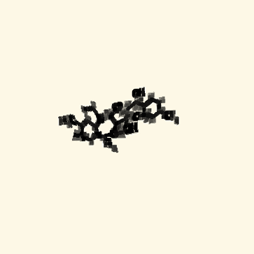 CC1NCN(C)C2C1CCN2[C@@H]1O[C@H]([C@H](O)c2ccc(C(F)(F)F)cc2)[C@@](C)(O)[C@H]1O